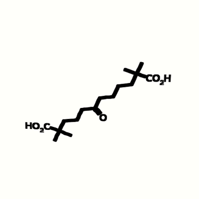 CC(C)(CCCCC(=O)CCCC(C)(C)C(=O)O)C(=O)O